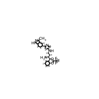 Cc1n[nH]c2ccc(-c3nnc(NCC[C@@H](N)C(OC(=O)C(F)(F)F)c4ccccc4)s3)cc12